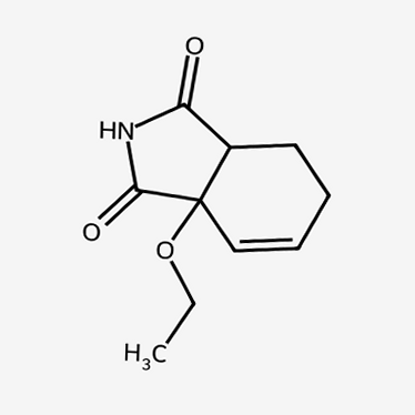 CCOC12C=CCCC1C(=O)NC2=O